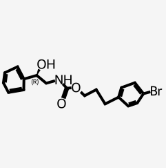 O=C(NC[C@H](O)c1ccccc1)OCCCc1ccc(Br)cc1